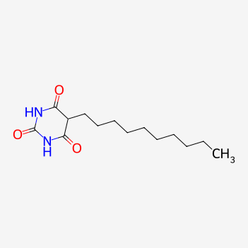 CCCCCCCCCCC1C(=O)NC(=O)NC1=O